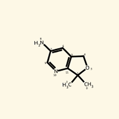 CC1(C)OCc2cc(N)cnc21